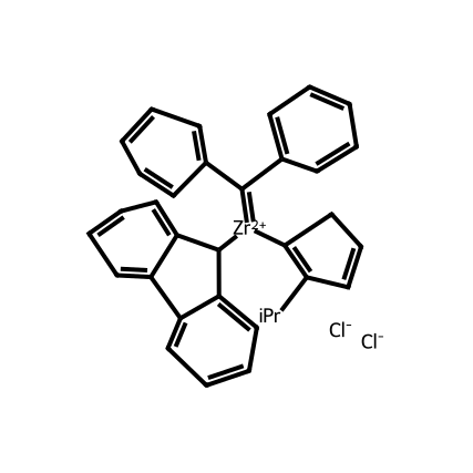 CC(C)C1=[C]([Zr+2](=[C](c2ccccc2)c2ccccc2)[CH]2c3ccccc3-c3ccccc32)CC=C1.[Cl-].[Cl-]